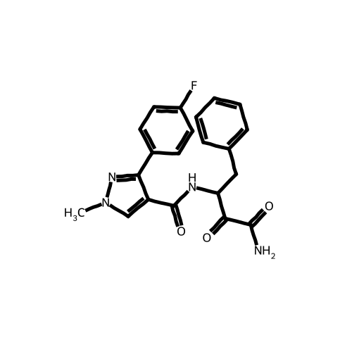 Cn1cc(C(=O)NC(Cc2ccccc2)C(=O)C(N)=O)c(-c2ccc(F)cc2)n1